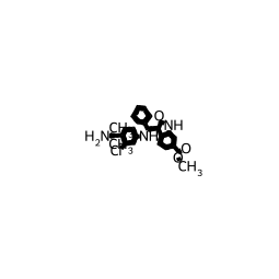 COC(=O)c1ccc2c(c1)NC(=O)C2=C(Nc1ccc(C(C)(C)N)c(Cl)c1)c1ccccc1